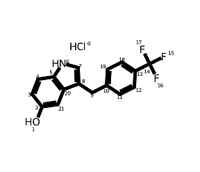 Cl.Oc1ccc2[nH]cc([CH]c3ccc(C(F)(F)F)cc3)c2c1